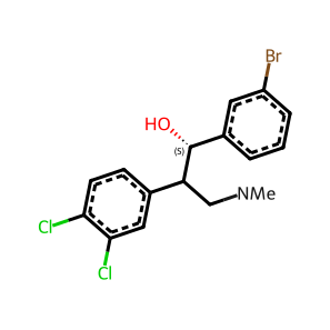 CNCC(c1ccc(Cl)c(Cl)c1)[C@H](O)c1cccc(Br)c1